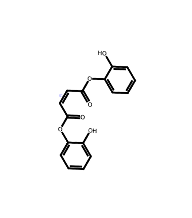 O=C(/C=C\C(=O)Oc1ccccc1O)Oc1ccccc1O